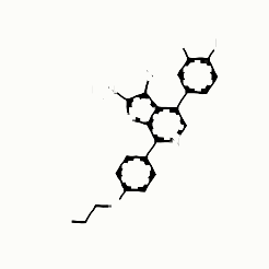 CCCOc1ccc(-c2ncc(-c3ccc(F)c(F)c3)c3c(N)c(N)oc23)cc1